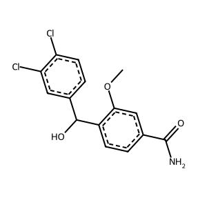 COc1cc(C(N)=O)ccc1C(O)c1ccc(Cl)c(Cl)c1